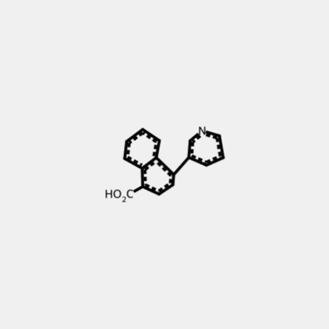 O=C(O)c1ccc(-c2cccnc2)c2ccccc12